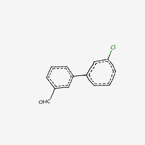 O=Cc1cccc(-c2cccc(Cl)c2)c1